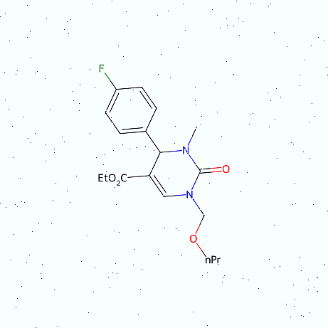 CCCOCN1C=C(C(=O)OCC)C(c2ccc(F)cc2)N(C)C1=O